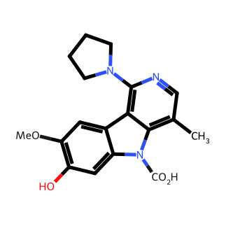 COc1cc2c3c(N4CCCC4)ncc(C)c3n(C(=O)O)c2cc1O